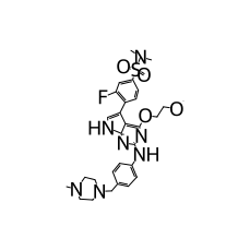 COCCOc1nc(Nc2ccc(CN3CCN(C)CC3)cc2)nc2[nH]cc(-c3ccc(S(=O)(=O)N(C)C)cc3F)c12